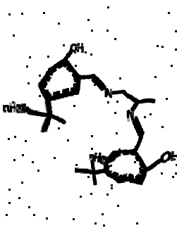 CCCCCCC(C)(C)c1ccc(O)c(C=NCC(C)N=Cc2cc(C(C)(C)CCCCCC)ccc2O)c1